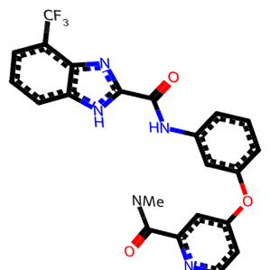 CNC(=O)c1cc(Oc2cccc(NC(=O)c3nc4c(C(F)(F)F)cccc4[nH]3)c2)ccn1